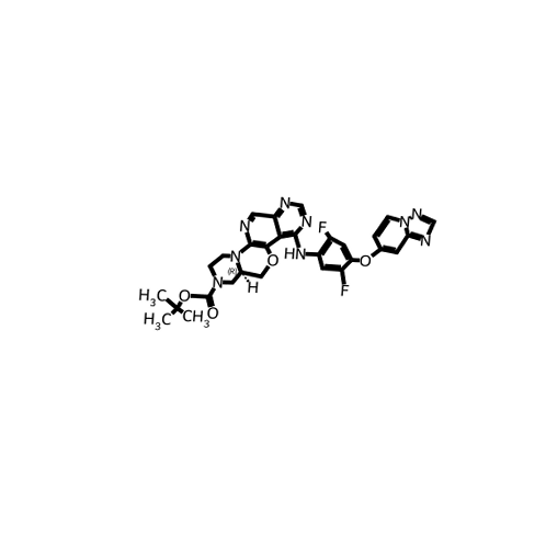 CC(C)(C)OC(=O)N1CCN2c3ncc4ncnc(Nc5cc(F)c(Oc6ccn7ncnc7c6)cc5F)c4c3OC[C@H]2C1